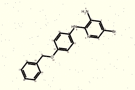 Nc1cc(Br)cnc1Nc1ccc(OCc2ccccc2)cc1